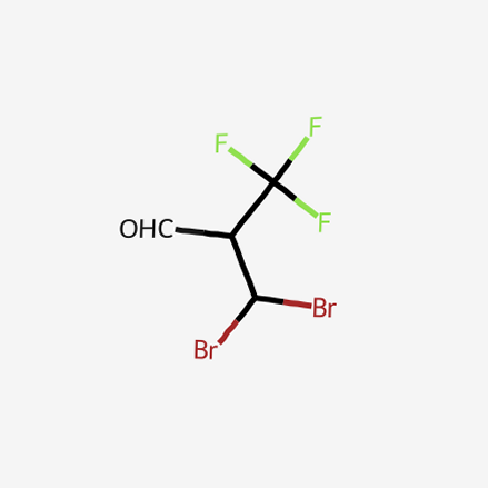 O=CC(C(Br)Br)C(F)(F)F